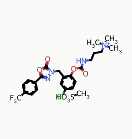 CS(=O)(=O)O.C[N+](C)(C)CCCNC(=O)Oc1ccc(Cl)cc1Cn1nc(-c2ccc(C(F)(F)F)cc2)oc1=O